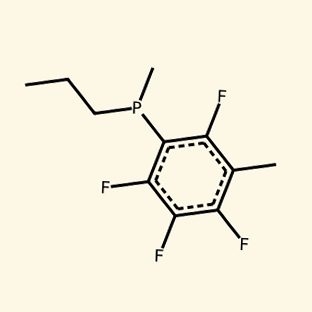 CCCP(C)c1c(F)c(C)c(F)c(F)c1F